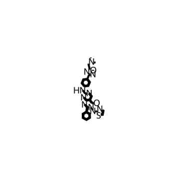 CN(C)Cc1nc(-c2ccc(Nc3ncc4c(=O)n5c(nc4n3)c3ccccc3n5-c3nccs3)cc2)no1